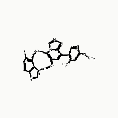 COc1cc(C)c(-c2cc3c(n4cnnc24)NCc2c(F)ccc4c2[C@H](CO4)CO3)cn1